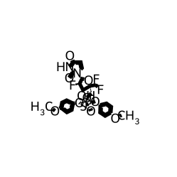 COc1ccc(OSP(=O)(OC[C@@]2(C(F)F)O[C@@H](n3ccc(=O)[nH]c3=O)[C@H](F)[C@@H]2O)Oc2ccc(OC)cc2)cc1